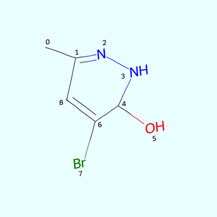 CC1=NNC(O)C(Br)=C1